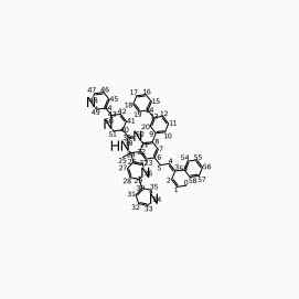 C/C=C\C(=C/Cc1cc(-c2cccc(-c3ccccc3)c2)c2c(c1)C(C)(c1ccc(-c3cccnc3)nc1)NC(C1C=CC(c3cccnc3)=NC1)=N2)c1ccccc1